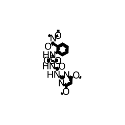 COc1cc(OC)nc(NC(=O)NS(=O)(=O)Nc2ccccc2C(=O)N(C)OC)n1